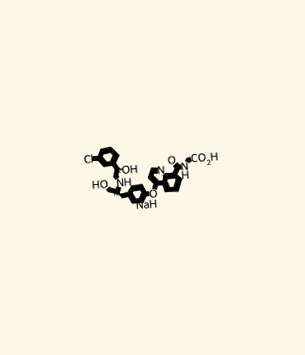 O=C(O)CNC(=O)c1cccc2c(Oc3ccc(C[C@@H](CO)NC[C@@H](O)c4cccc(Cl)c4)cc3)ccnc12.[NaH]